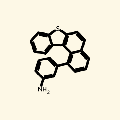 Nc1cccc(-c2cccc3ccc4sc5ccccc5c4c23)c1